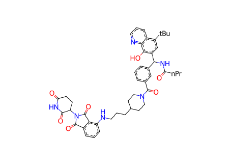 CCCC(=O)NC(c1cccc(C(=O)N2CCC(CCCNc3cccc4c3C(=O)N(C3CCC(=O)NC3=O)C4=O)CC2)c1)c1cc(C(C)(C)C)c2cccnc2c1O